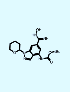 CC(C)(C)OC(=O)Nc1cc(C(=N)NO)cc2c1cnn2C1CCCCO1